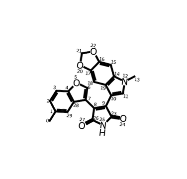 Cc1ccc2occ(C3=C(c4cn(C)c5cc6c(cc45)OCO6)C(=O)NC3=O)c2c1